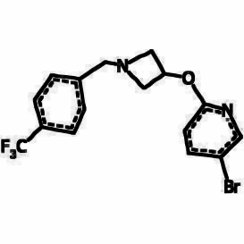 FC(F)(F)c1ccc(CN2CC(Oc3ccc(Br)cn3)C2)cc1